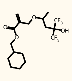 C=C(COC(C)CC(O)(C(F)(F)F)C(F)(F)F)C(=O)OCC1CCCCC1